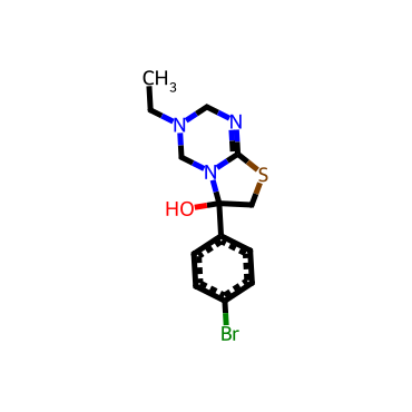 CCN1CN=C2SCC(O)(c3ccc(Br)cc3)N2C1